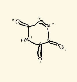 O=C1C=NC(=O)C(=O)N1